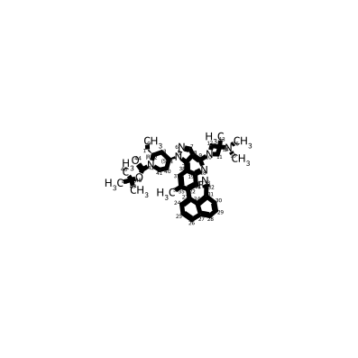 CC[C@@H]1C[C@@H](n2ncc3c(N4CC(C)(N(C)C)C4)nc4c(F)c(-c5cccc6cccc(C#N)c56)c(C)cc4c32)CCN1C(=O)OC(C)(C)C